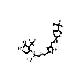 C[C@@H](COCc1cc(CNc2ncc(C(F)(F)F)cn2)[nH]n1)Oc1cn[nH]c(=O)c1C(F)(F)F